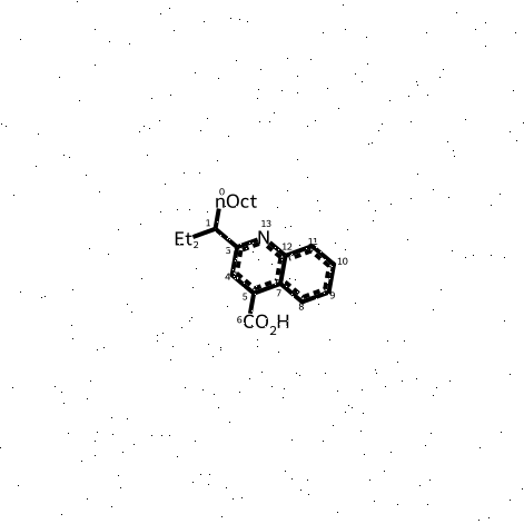 CCCCCCCCC(CC)c1cc(C(=O)O)c2ccccc2n1